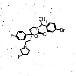 C[C@@H](c1ccc(Br)cc1)N1CC[C@](CCN2CC[C@@H](F)C2)(c2ccc(F)cc2)OC1=O